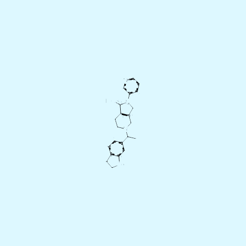 CC(c1ccc2c(c1)OCC2)N1CCC2=C(C1)CN(c1cccnc1)C2O